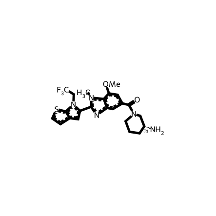 COc1cc(C(=O)N2CCC[C@@H](N)C2)cc2nc(-c3cc4ccsc4n3CC(F)(F)F)n(C)c12